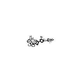 O=C(NC(=O)[C@@H]1CCCN1)c1ccc(-c2ccc(OCC3CCN(CC4(C(F)(F)F)CCC4)CC3)c(F)c2)cn1